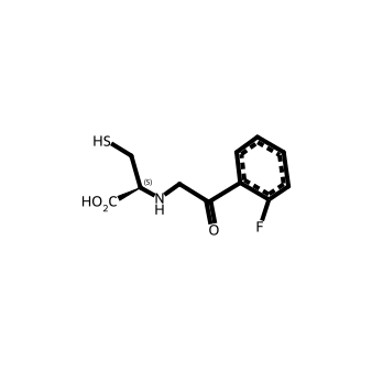 O=C(CN[C@H](CS)C(=O)O)c1ccccc1F